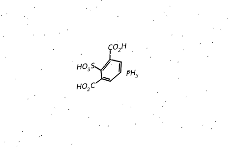 O=C(O)c1cccc(C(=O)O)c1S(=O)(=O)O.P